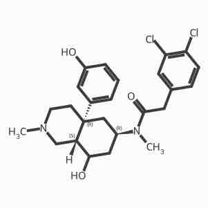 CN1CC[C@@]2(c3cccc(O)c3)C[C@@H](N(C)C(=O)Cc3ccc(Cl)c(Cl)c3)CC(O)[C@@H]2C1